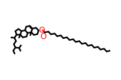 CCCCCCCCCCCCCCCCCCCCCC(=O)OC1CCC2(C)C(=CCC3C2CCC2(C)C(C(C)CCC(CC)C(C)C)CCC32)C1